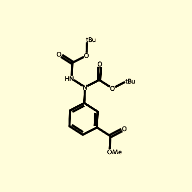 COC(=O)c1cccc(N(NC(=O)OC(C)(C)C)C(=O)OC(C)(C)C)c1